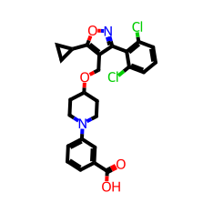 O=C(O)c1cccc(N2CCC(OCc3c(-c4c(Cl)cccc4Cl)noc3C3CC3)CC2)c1